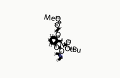 C/C=C(\C)OC(=O)N(Cc1ccccc1OCCOCOC)C(=O)OC(C)(C)C